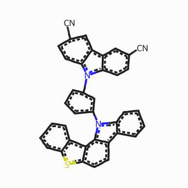 N#Cc1ccc2c(c1)c1cc(C#N)ccc1n2-c1cccc(-n2c3ccccc3c3ccc4sc5ccccc5c4c32)c1